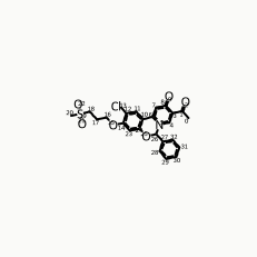 CC(=O)c1cn2c(cc1=O)-c1cc(Cl)c(OCCCS(C)(=O)=O)cc1OC2c1ccccc1